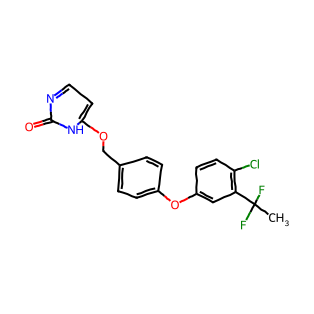 CC(F)(F)c1cc(Oc2ccc(COc3ccnc(=O)[nH]3)cc2)ccc1Cl